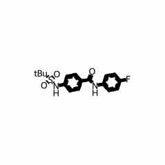 CC(C)(C)S(=O)(=O)Nc1ccc(C(=O)Nc2ccc(F)cc2)cc1